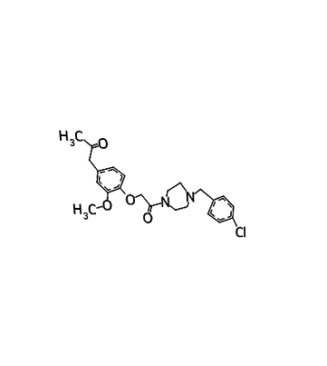 COc1cc(CC(C)=O)ccc1OCC(=O)N1CCN(Cc2ccc(Cl)cc2)CC1